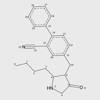 CCCCC1NCC(=O)C1Cc1ccc(-c2ccccc2)c(C#N)c1